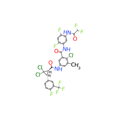 Cc1cc(NC(=O)[C@H]2[C@H](c3ccc(F)c(C(F)(F)F)c3)C2(Cl)Cl)cc(C(=O)Nc2cc(NC(=O)C(F)F)c(F)cc2F)c1Cl